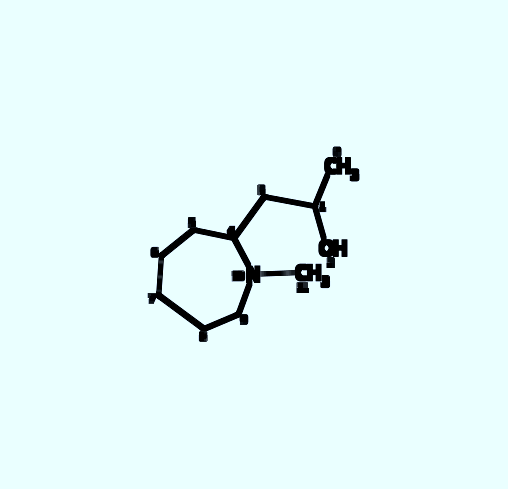 CC(O)CC1CCCCCN1C